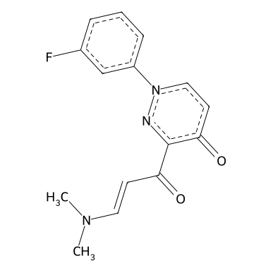 CN(C)/C=C/C(=O)c1nn(-c2cccc(F)c2)ccc1=O